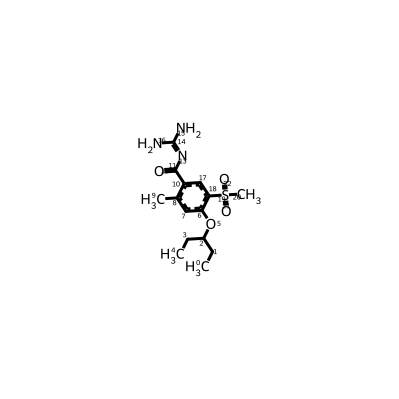 CCC(CC)Oc1cc(C)c(C(=O)N=C(N)N)cc1S(C)(=O)=O